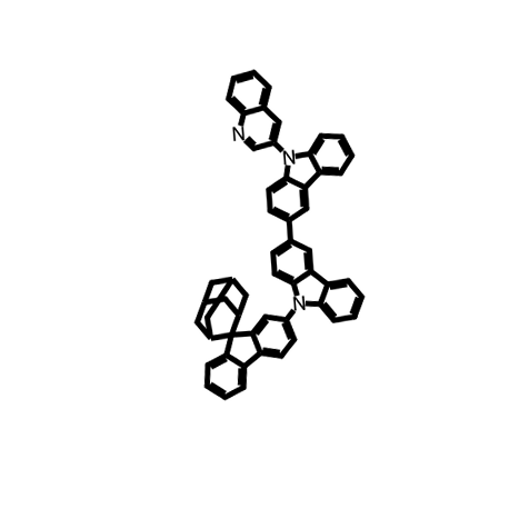 c1ccc2c(c1)-c1ccc(-n3c4ccccc4c4cc(-c5ccc6c(c5)c5ccccc5n6-c5cnc6ccccc6c5)ccc43)cc1C21C2CC3CC(C2)CC1C3